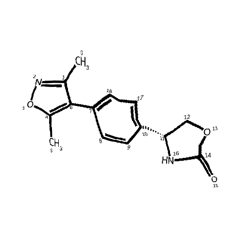 Cc1noc(C)c1-c1ccc([C@@H]2COC(=O)N2)cc1